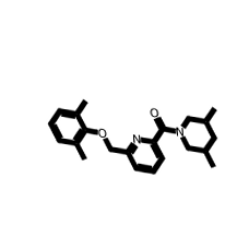 Cc1cccc(C)c1OCc1cccc(C(=O)N2CC(C)CC(C)C2)n1